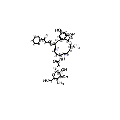 C[C@H]1C(CO)O[C@H](SCC(=O)N[C@H]2/C=C/C[C@@H](C)OC(=O)c3c(O)cc(O)cc3CC(=NOCC(=O)N3CCCCC3)/C=C/C2)[C@H](O)C1O